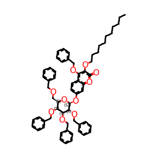 CCCCCCCCCCCOc1c(OCc2ccccc2)c2ccc(O[C@@H]3O[C@H](COCc4ccccc4)[C@H](OCc4ccccc4)[C@H](OCc4ccccc4)[C@H]3OCc3ccccc3)cc2oc1=O